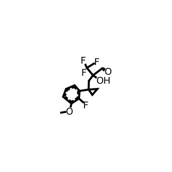 COc1cccc(C2(CC(O)(C=O)C(F)(F)F)CC2)c1F